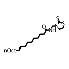 CCCCCCCCC=CCCCCCCCC(=O)NCN1CCSC1=S